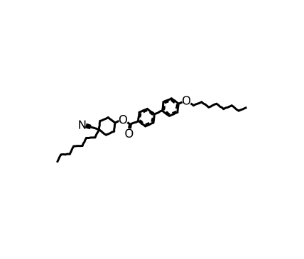 CCCCCCCCOc1ccc(-c2ccc(C(=O)OC3CCC(C#N)(CCCCCCC)CC3)cc2)cc1